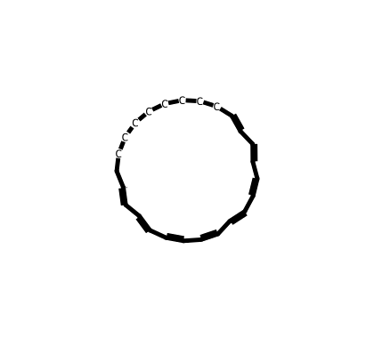 [C]1=C/C=C/C=C\C=C/C=C/C=C\C=C\C=C\CCCCCCCCC/1